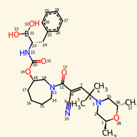 C[C@H]1CN(C(C)(C)/C=C(\C#N)C(=O)N2CCCC[C@@H](OC(=O)N[C@@H](Cc3ccccc3)B(O)O)C2)C[C@H](C)O1